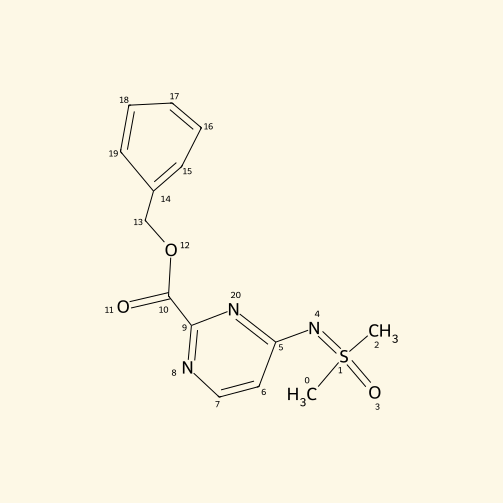 CS(C)(=O)=Nc1ccnc(C(=O)OCc2ccccc2)n1